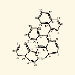 Cc1cccc2c(-c3cccc4ccccc34)c3ccccc3c(-c3cccc4ccccc34)c12